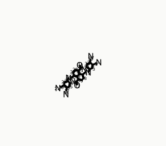 N#Cc1cc2nc3c4ccc5c(=O)n6c7cc(C#N)c(C#N)cc7nc6c6ccc(c(=O)n3c2cc1C#N)c4c56